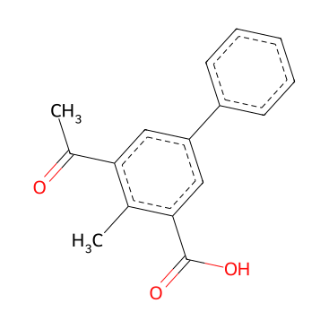 CC(=O)c1cc(-c2ccccc2)cc(C(=O)O)c1C